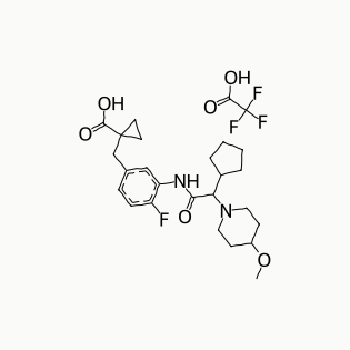 COC1CCN(C(C(=O)Nc2cc(CC3(C(=O)O)CC3)ccc2F)C2CCCC2)CC1.O=C(O)C(F)(F)F